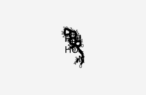 CCN(CC)CC#C[C@]1(O)CC[C@H]2[C@@H]3CCC4=CCCC[C@@H]4[C@H]3CCC21CC